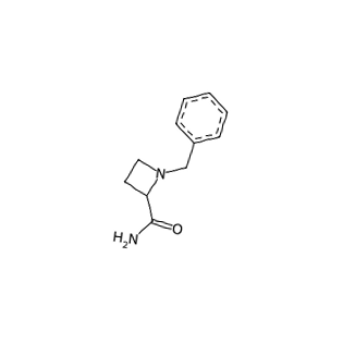 NC(=O)C1CCN1Cc1ccccc1